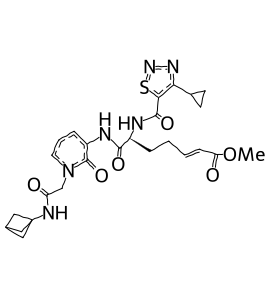 COC(=O)/C=C/CC[C@H](NC(=O)c1snnc1C1CC1)C(=O)Nc1cccn(CC(=O)NC23CC(C2)C3)c1=O